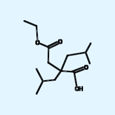 CCOC(=O)CC(CC(C)C)(CC(C)C)C(=O)O